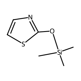 C[Si](C)(C)Oc1nccs1